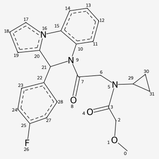 COCC(=O)N(CC(=O)N1c2ccccc2-n2cccc2C1c1ccc(F)cc1)C1CC1